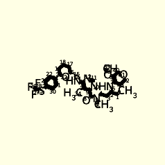 CCC(CCN(C)C(=O)c1ncnc(NC[C@H]2CCC[C@@H](c3ccc(SC(F)(F)F)cc3)O2)c1C)NC1=C(OC)COCC1